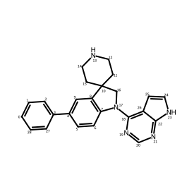 c1ccc(-c2ccc3c(c2)C2(CCNCC2)CN3c2ncnc3[nH]ccc23)cc1